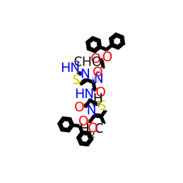 C=CC1=C(C(=O)OC(c2ccccc2)c2ccccc2)N2C(=O)C(NC(=O)/C(=N/OCC(=O)OC(c3ccccc3)c3ccccc3)c3csc(NC=O)n3)[C@H]2SC1